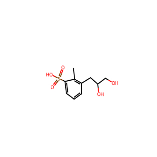 Cc1c(CC(O)CO)cccc1S(=O)(=O)O